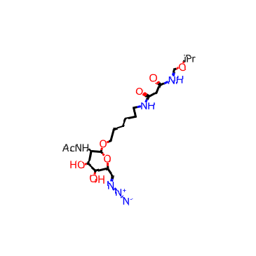 CC(=O)NC1C(OCCCCCCNC(=O)CC(=O)NCOC(C)C)OC(CN=[N+]=[N-])C(O)C1O